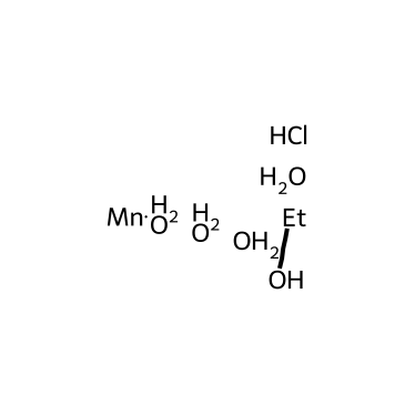 CCO.Cl.O.O.O.O.[Mn]